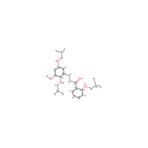 COc1cc(OCC(C)C)cc(CCC(=O)c2ccccc2OCC(C)C)c1OCC(C)C